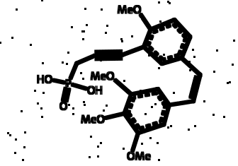 COc1ccc(/C=C\c2cc(OC)c(OC)c(OC)c2)cc1C#CCP(=O)(O)O